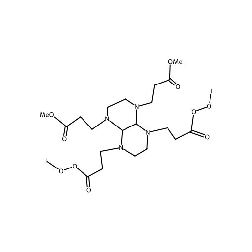 COC(=O)CCN1CCN(CCC(=O)OC)C2C1N(CCC(=O)OOI)CCN2CCC(=O)OOI